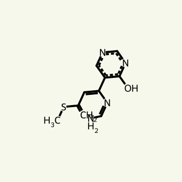 C=C(/C=C(\N=C/N)c1cncnc1O)SC